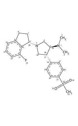 CN(C)[C@@H]1CN([C@H]2CCc3cccc(F)c32)C[C@H]1c1ccc(S(C)(=O)=O)cc1